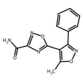 Cc1onc(-c2ccccc2)c1-c1nc(C(N)=O)no1